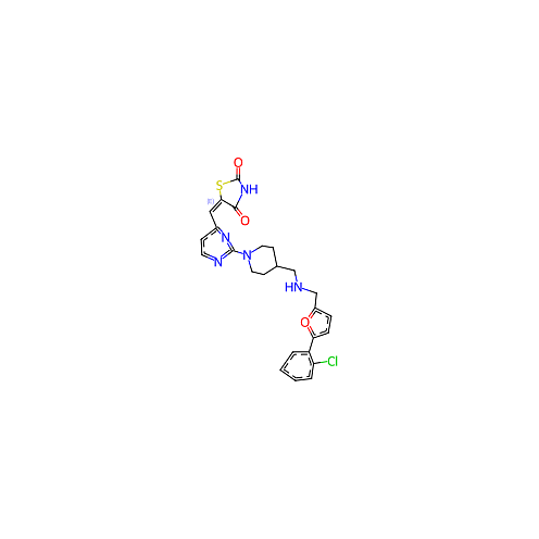 O=C1NC(=O)/C(=C\c2ccnc(N3CCC(CNCc4ccc(-c5ccccc5Cl)o4)CC3)n2)S1